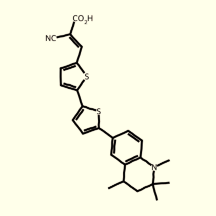 CC1CC(C)(C)N(C)c2ccc(-c3ccc(-c4ccc(/C=C(\C#N)C(=O)O)s4)s3)cc21